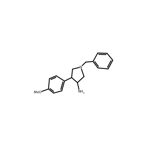 COc1ccc(C2CN(Cc3ccccc3)CC2N)cc1